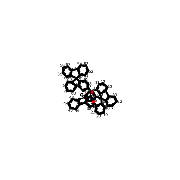 c1ccc(C2(c3ccc(N(c4cccc5c4C4(c6ccccc6-c6ccccc64)c4ccccc4-5)c4cccc5c4sc4ccccc45)cc3)c3ccccc3-c3ccccc32)cc1